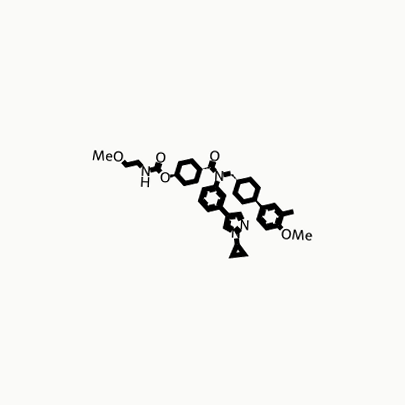 COCCNC(=O)O[C@H]1CC[C@H](C(=O)N(C[C@H]2CC[C@H](c3ccc(OC)c(C)c3)CC2)c2cccc(-c3cnn(C4CC4)c3)c2)CC1